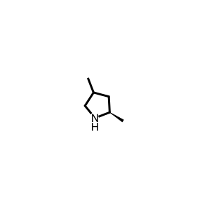 CC1CN[C@H](C)C1